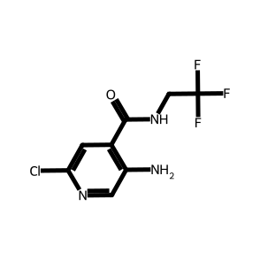 Nc1cnc(Cl)cc1C(=O)NCC(F)(F)F